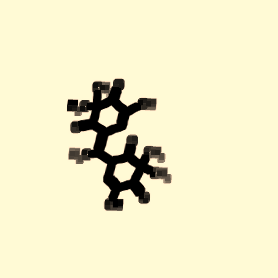 CC(=C1C=C(O)C(=O)C(C)(C)C1=O)C1C=C(O)C(=O)C(C)(C)C1=O